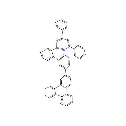 c1ccc(-c2nc(-c3ccccc3)nc(-c3ccccc3-c3cccc(-c4ccc5c6ccccc6c6ccccc6c5c4)c3)n2)cc1